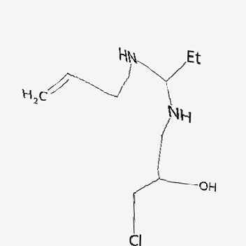 C=CCNC(CC)NCC(O)CCl